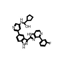 OC(Nc1cncc(-c2ccc3[nH]nc(-c4nc5c(-c6cccc(F)c6)nccc5[nH]4)c3c2)c1)C1CCCC1